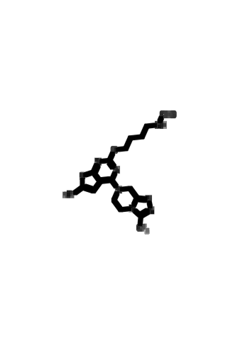 CCCc1cc2c(N3CCn4c(nnc4C(F)(F)F)C3)nc(OCCCCNC=O)nc2s1